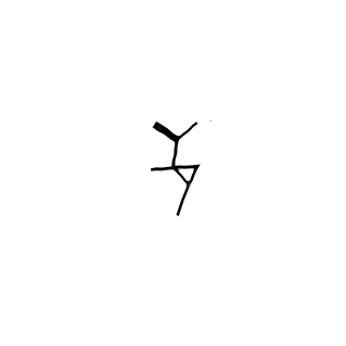 CC1CC1(C)C(=O)C(C)(C)C